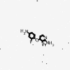 CC(C)c1c(Oc2ccc(N)cc2F)ccnc1N